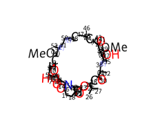 CO[C@H]1C[C@@H]2CC[C@@H](C)[C@@](O)(O2)C(=O)C(=O)N2CCCC[C@H]2C(=O)OC(=C(C)C)CC(=O)[C@H](C)/C=C(\C)[C@@H](O)[C@@H](OC)C(=O)[C@H](C)C[C@H](C)CC/C=C/C=C/1C